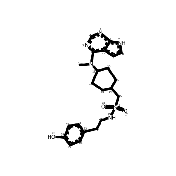 CN(c1ncnc2[nH]ccc12)C1CCC(CS(=O)(=O)NCCc2ccc(O)cc2)CC1